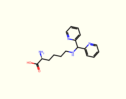 N[C@@H](CCCCNC(c1ccccn1)c1ccccn1)C(=O)O